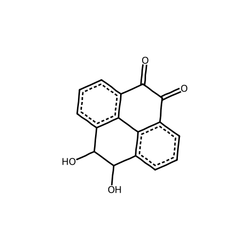 O=C1C(=O)c2cccc3c2-c2c1cccc2C(O)C3O